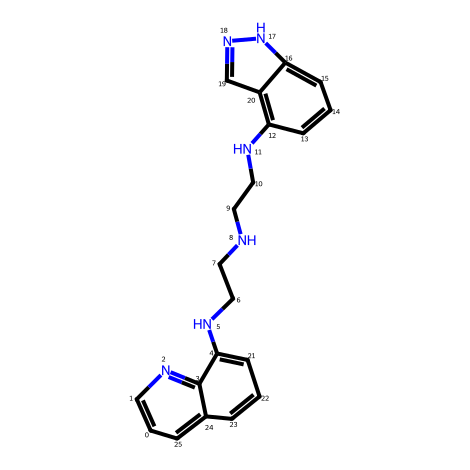 c1cnc2c(NCCNCCNc3cccc4[nH]ncc34)cccc2c1